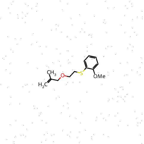 C=C(C)COCCSc1ccccc1OC